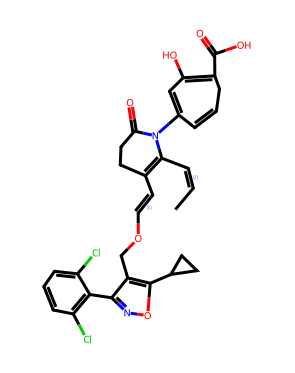 C/C=C\C1=C(/C=C/OCc2c(-c3c(Cl)cccc3Cl)noc2C2CC2)CCC(=O)N1C1=CC(O)=C(C(=O)O)CC=C1